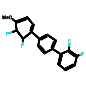 COC1=CC=C(c2ccc(-c3cccc(F)c3F)cc2)C(F)C1F